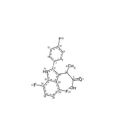 CC(C(=O)O)c1c(-c2ccc(F)cc2)[nH]c2c(F)ccc(F)c12